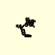 COc1ccc2cc(CN(C)CCC3CCC([C@H](C)OC(=O)C(C)(C)C)N(C(=O)CC(F)(F)F)C3)ccc2c1